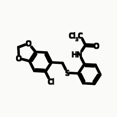 O=C(Nc1ccccc1SCc1cc2c(cc1Cl)OCO2)C(Cl)(Cl)Cl